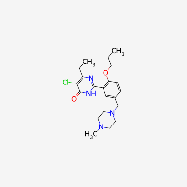 CCCOc1ccc(CN2CCN(C)CC2)cc1-c1nc(CC)c(Cl)c(=O)[nH]1